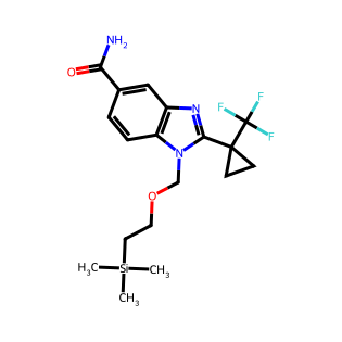 C[Si](C)(C)CCOCn1c(C2(C(F)(F)F)CC2)nc2cc(C(N)=O)ccc21